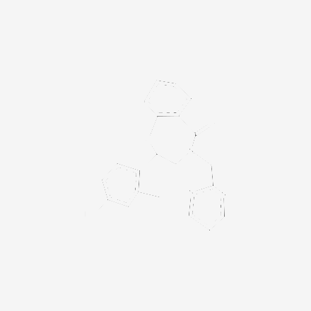 Cc1cc(C(F)(F)F)ccc1C1CN(Cc2ncccn2)C(=O)c2ccccc2O1